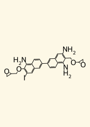 Nc1cc2cc(-c3ccc4c(N)c(OCC5CO5)c(I)cc4c3)ccc2c(N)c1COC1CO1